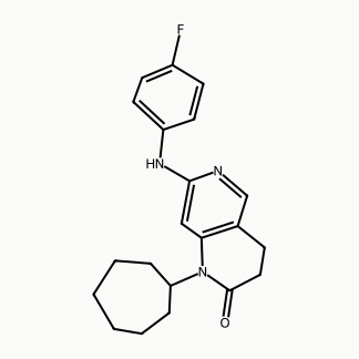 O=C1CCc2cnc(Nc3ccc(F)cc3)cc2N1C1CCCCCC1